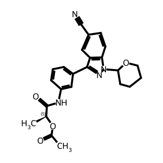 CC(=O)O[C@@H](C)C(=O)Nc1cccc(-c2nn(C3CCCCO3)c3ccc(C#N)cc23)c1